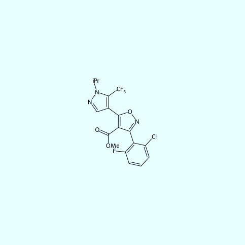 COC(=O)c1c(-c2c(F)cccc2Cl)noc1-c1cnn(C(C)C)c1C(F)(F)F